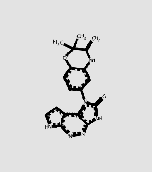 C=C1Nc2cc(-n3c(=O)[nH]c4nnc5[nH]ccc5c43)ccc2OC1(C)C